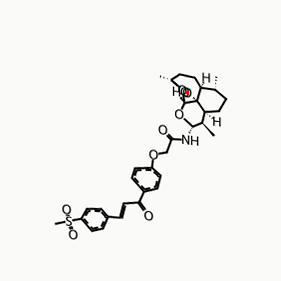 C[C@H]1[C@H](NC(=O)COc2ccc(C(=O)/C=C/c3ccc(S(C)(=O)=O)cc3)cc2)O[C@@H]2O[C@]3(C)CC[C@H]4[C@H](C)CC[C@@H]1[C@@]24OO3